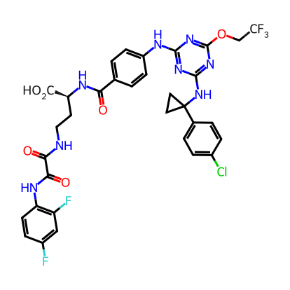 O=C(NCC[C@H](NC(=O)c1ccc(Nc2nc(NC3(c4ccc(Cl)cc4)CC3)nc(OCC(F)(F)F)n2)cc1)C(=O)O)C(=O)Nc1ccc(F)cc1F